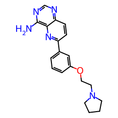 Nc1ncnc2ccc(-c3cccc(OCCN4CCCC4)c3)nc12